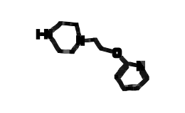 IN1CCN(CCOc2ccccn2)CC1